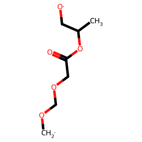 [CH2]OCOCC(=O)OC(C)C[O]